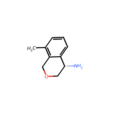 Cc1cccc2c1COC[C@H]2N